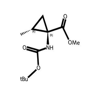 COC(=O)[C@@]1(NC(=O)OC(C)(C)C)C[C@H]1C